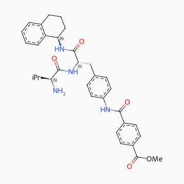 COC(=O)c1ccc(C(=O)Nc2ccc(C[C@H](NC(=O)[C@@H](N)C(C)C)C(=O)N[C@@H]3CCCc4ccccc43)cc2)cc1